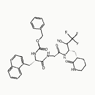 O=C(CNC(=O)[C@H](Cc1cccc2ccccc12)NC(=O)OCc1ccccc1)N[C@@H](C[C@@H]1CCCNC1=O)C(O)C(F)(F)F